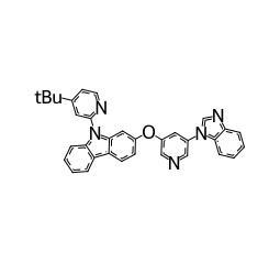 CC(C)(C)c1ccnc(-n2c3ccccc3c3ccc(Oc4cncc(-n5cnc6ccccc65)c4)cc32)c1